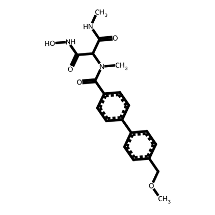 CNC(=O)C(C(=O)NO)N(C)C(=O)c1ccc(-c2ccc(COC)cc2)cc1